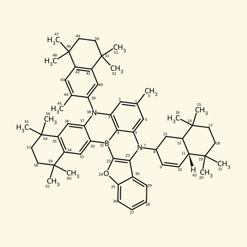 Cc1cc2c3c(c1)N(C1C=C[C@@H]4C(C1)C(C)(C)CCC4(C)C)c1c(oc4ccccc14)B3c1cc3c(cc1N2c1cc2c(cc1C)C(C)(C)CCC2(C)C)C(C)(C)CCC3(C)C